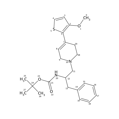 COc1ccsc1C1=CCN(CC(Cc2ccccc2)NC(=O)OC(C)(C)C)CC1